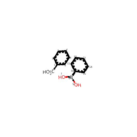 O=C(O)c1ccccc1.OB(O)c1ccccc1